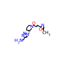 Cc1cnc(/C=C/C(=O)N2CCC[C@@H](Cn3cc(CN)nn3)C2)o1